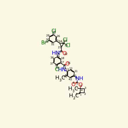 C=C1CCC1(C)OC(=O)Nc1ccc(NC(=O)c2cc(NC(=O)C3C(c4cc(Cl)cc(Br)c4)C3(Cl)Cl)ccc2Cl)c(C)c1